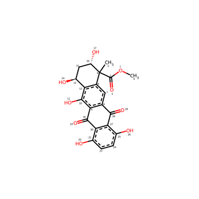 COC(=O)C1(C)c2cc3c(c(O)c2[C@@H](O)C[C@@H]1O)C(=O)c1c(O)ccc(O)c1C3=O